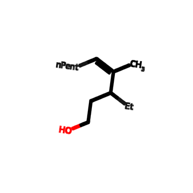 CCCCCC=C(C)C(CC)CCO